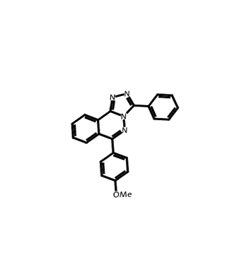 COc1ccc(-c2nn3c(-c4ccccc4)nnc3c3ccccc23)cc1